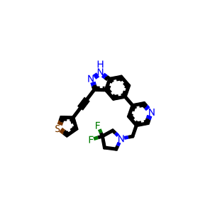 FC1(F)CCN(Cc2cncc(-c3ccc4[nH]nc(C#Cc5ccsc5)c4c3)c2)C1